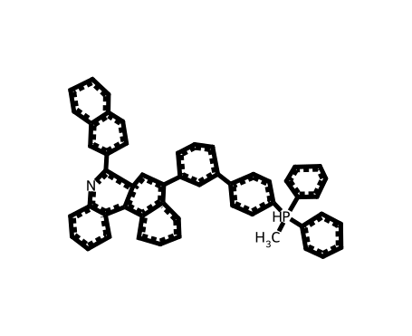 C[PH](c1ccccc1)(c1ccccc1)c1ccc(-c2cccc(-c3cc4c(-c5ccc6ccccc6c5)nc5ccccc5c4c4ccccc34)c2)cc1